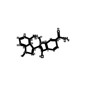 Cn1nc(-c2c(Cl)c3ccc(C(N)=O)cc3n2C)c2c(N)ncnc21